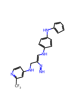 N=N/C(=C\Nc1ccc(Nc2ccccc2)cc1)CNc1ccnc(C(F)(F)F)c1